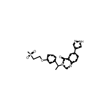 CC(c1cccc(OCCS(C)(=O)=O)c1)n1cnc2ccc(-c3cn[nH]c3)cc2c1=O